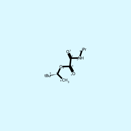 CC(C)NC(=O)C(=O)O[C@H](C)C(C)(C)C